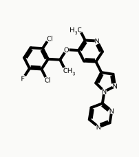 Cc1ncc(-c2cnn(-c3ccncn3)c2)cc1OC(C)c1c(Cl)ccc(F)c1Cl